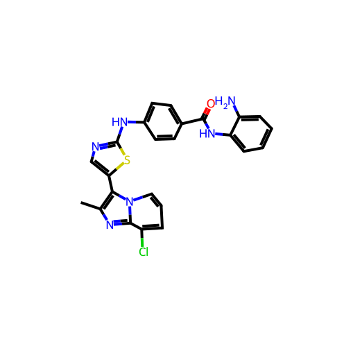 Cc1nc2c(Cl)cccn2c1-c1cnc(Nc2ccc(C(=O)Nc3ccccc3N)cc2)s1